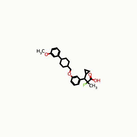 COc1cccc(C2CCC(COc3cccc(C(C4CC4)C(C)(F)C(=O)O)c3)CC2)c1